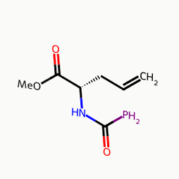 C=CC[C@H](NC(=O)P)C(=O)OC